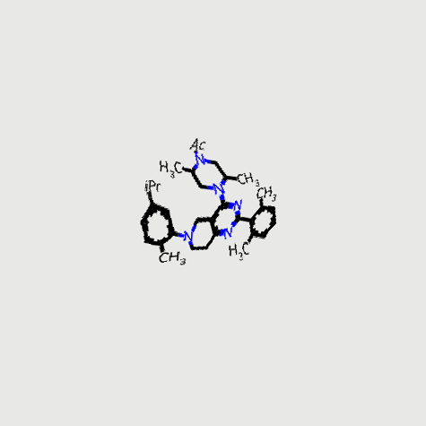 CC(=O)N1CC(C)N(c2nc(-c3c(C)cccc3C)nc3c2CN(c2cc(C(C)C)ccc2C)CC3)CC1C